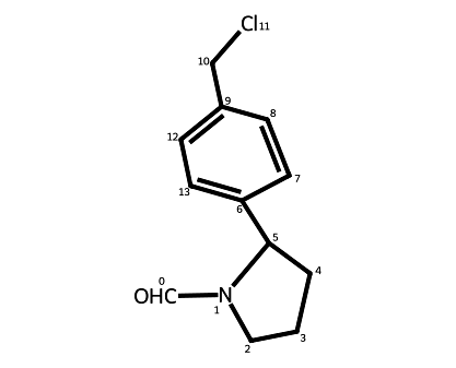 O=CN1CCCC1c1ccc(CCl)cc1